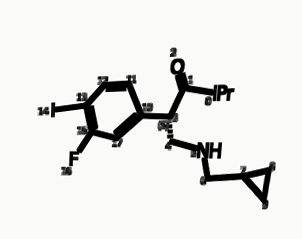 CC(C)C(=O)[C@H](CNCC1CC1)c1ccc(I)c(F)c1